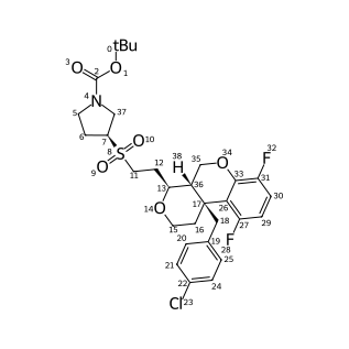 CC(C)(C)OC(=O)N1CC[C@H](S(=O)(=O)CC[C@@H]2OCC[C@@]3(Cc4ccc(Cl)cc4)c4c(F)ccc(F)c4OC[C@@H]23)C1